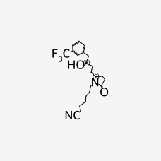 N#CCCCCCCN1C(=O)CC[C@@H]1CC[C@@H](O)Cc1cccc(C(F)(F)F)c1